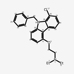 CCN(CC)CCOc1cccc2c1c1cccc(Cl)c1n2Cc1ccccc1